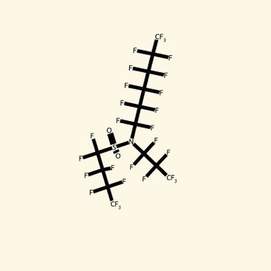 O=S(=O)(N(C(F)(F)C(F)(F)C(F)(F)F)C(F)(F)C(F)(F)C(F)(F)C(F)(F)C(F)(F)C(F)(F)F)C(F)(F)C(F)(F)C(F)(F)C(F)(F)F